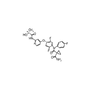 C[C@@H](O)C(=O)Nc1cc(Oc2cc(F)c(N(C(=O)C3(C(N)=O)CC3)c3ccc(F)cc3)cc2F)ccn1